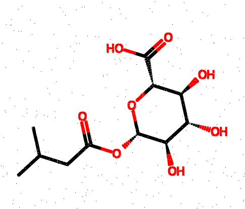 CC(C)CC(=O)O[C@@H]1O[C@H](C(=O)O)[C@@H](O)[C@H](O)[C@H]1O